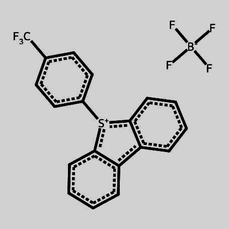 FC(F)(F)c1ccc(-[s+]2c3ccccc3c3ccccc32)cc1.F[B-](F)(F)F